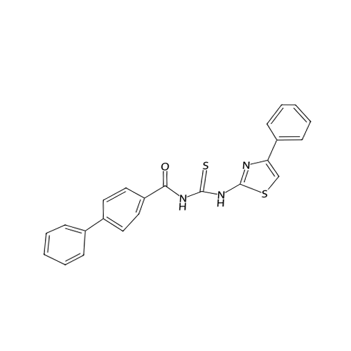 O=C(NC(=S)Nc1nc(-c2ccccc2)cs1)c1ccc(-c2ccccc2)cc1